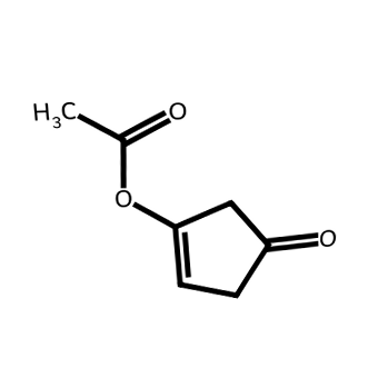 CC(=O)OC1=CCC(=O)C1